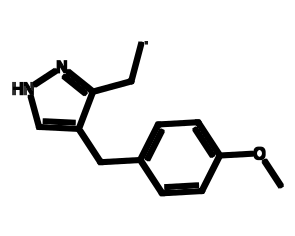 [CH2]Cc1n[nH]cc1Cc1ccc(OC)cc1